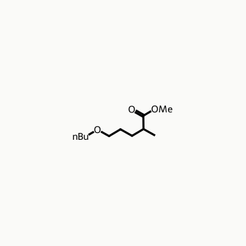 CCCCOCCCC(C)C(=O)OC